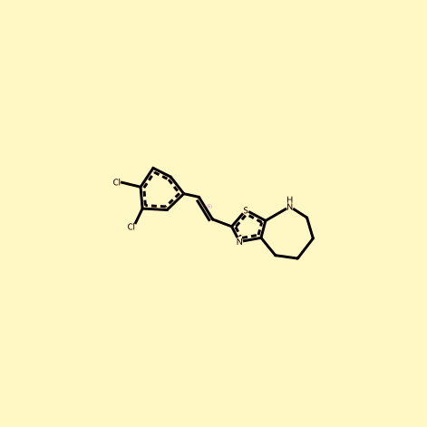 Clc1ccc(/C=C/c2nc3c(s2)NCCCC3)cc1Cl